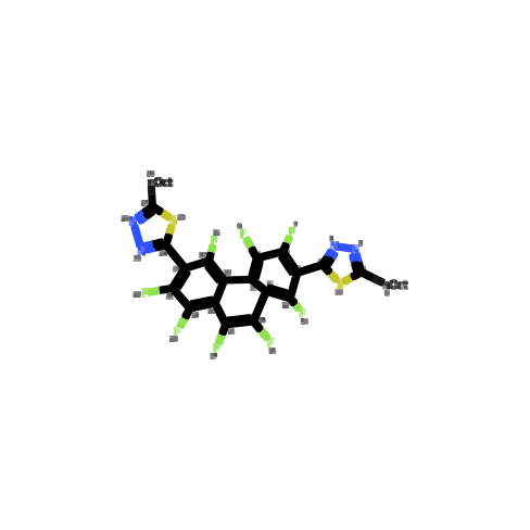 CCCCCCCCc1nnc(-c2c(F)c(F)c3c(c2F)c(F)c(F)c2c(F)c(F)c(-c4nnc(CCCCCCCC)s4)c(F)c23)s1